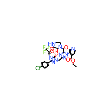 CCOC(=O)c1ccncc1-n1nc(Cn2nc(-c3ccc(Cl)cc3)n(C[C@H](O)C(F)(F)F)c2=O)nc1C(=O)N1CCNC(=O)C1